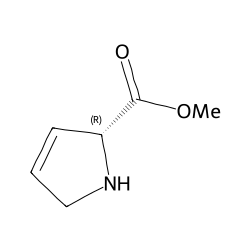 COC(=O)[C@H]1C=CCN1